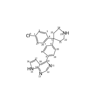 Clc1ccc(C2(c3ccc(-c4ncnc5[nH]ccc45)cc3)CCNCC2)cc1